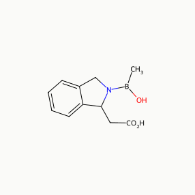 CB(O)N1Cc2ccccc2C1CC(=O)O